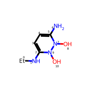 CCNC1=CC=C(N)N(O)N1O